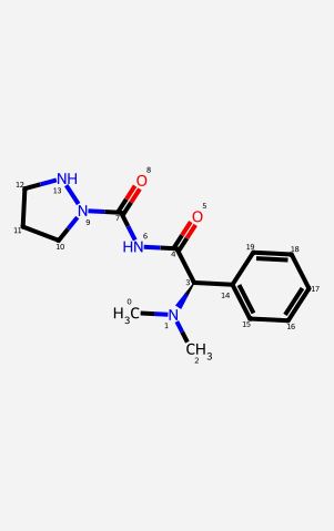 CN(C)[C@@H](C(=O)NC(=O)N1CCCN1)c1ccccc1